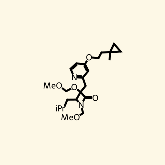 COCOC1(Cc2cc(OCCC3(C)CC3)ccn2)C(=O)N(COC)C1CC(C)C